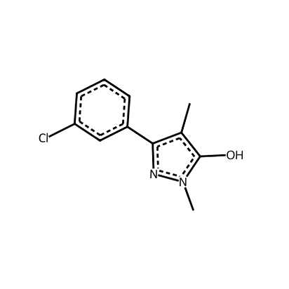 Cc1c(-c2cccc(Cl)c2)nn(C)c1O